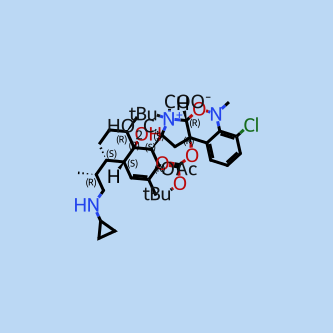 CC(=O)O[C@H]1C(C)=C[C@@H]2[C@H]([C@@H](C)CNC3CC3)CC[C@@H](C)[C@]2(O)[C@H]1[C@]1(C(=O)O)C[C@@]2(OC(=O)OC(C)(C)C)c3cccc(Cl)c3N(C)O[C@H]2[N+]1(C(=O)[O-])C(C)(C)C